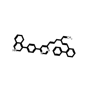 C=CC(/C=C/C1=C(c2ccccc2)CCC=C1)C/C=C/c1cc(-c2ccc(C3=C4CCC=CC4=CNC3)cc2)ncn1